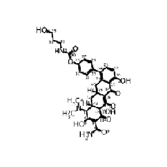 CN(C)C1C(O)=C(C(N)=O)C(=O)[C@]2(O)C(O)=C3C(=O)c4c(O)ccc(-c5ccc(OC(=O)NCCCO)cc5)c4C[C@H]3C[C@@H]12